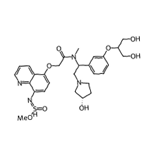 CO[SH](=O)=Nc1ccc(OCC(=O)N(C)C(CN2CC[C@H](O)C2)c2cccc(OC(CO)CO)c2)c2cccnc12